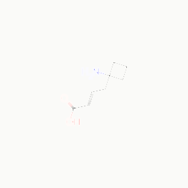 NC1(CC=CC(=O)O)CCC1